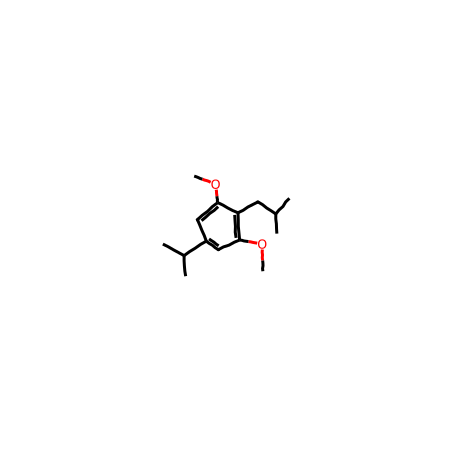 COc1cc(C(C)C)cc(OC)c1CC(C)C